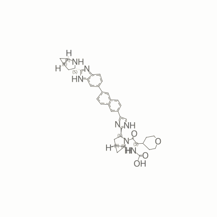 O=C(O)N[C@H](C(=O)N1[C@@H]2C[C@@H]2C[C@H]1c1nc(-c2ccc3cc(-c4ccc5nc([C@@H]6C[C@H]7C[C@H]7N6)[nH]c5c4)ccc3c2)c[nH]1)C1CCOCC1